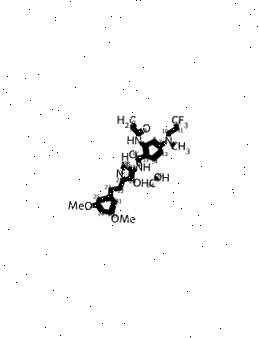 C=CC(=O)Nc1cc(N(C)CCC(F)(F)F)ccc1C(=O)Nc1cc(CCc2cc(OC)cc(OC)c2)n[nH]1.O=CO